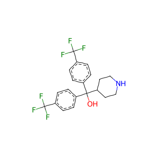 OC(c1ccc(C(F)(F)F)cc1)(c1ccc(C(F)(F)F)cc1)C1CCNCC1